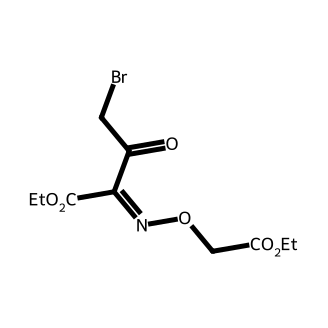 CCOC(=O)CON=C(C(=O)CBr)C(=O)OCC